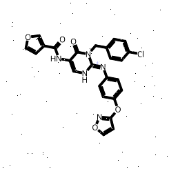 O=C(Nc1c[nH]/c(=N\c2ccc(Oc3ccon3)cc2)n(Cc2ccc(Cl)cc2)c1=O)c1ccoc1